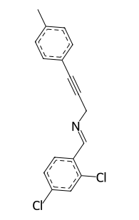 Cc1ccc(C#CCN=Cc2ccc(Cl)cc2Cl)cc1